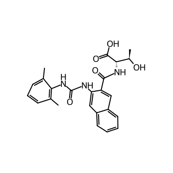 Cc1cccc(C)c1NC(=O)Nc1cc2ccccc2cc1C(=O)N[C@H](C(=O)O)[C@@H](C)O